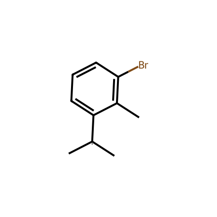 C[C](C)c1cccc(Br)c1C